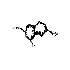 CC(C)(C)c1cc(C#N)c2cc(C(C)(C)C)ccc2c1